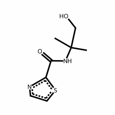 CC(C)(CO)NC(=O)c1nccs1